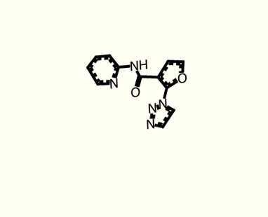 O=C(Nc1ccccn1)c1ccoc1-n1ccnn1